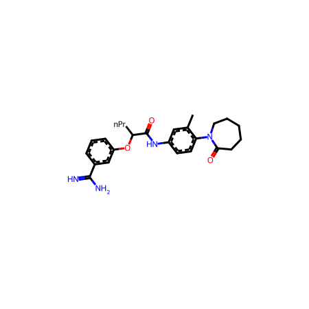 CCCC(Oc1cccc(C(=N)N)c1)C(=O)Nc1ccc(N2CCCCCC2=O)c(C)c1